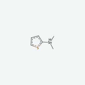 [CH3][SnH]([CH3])[c]1cccs1